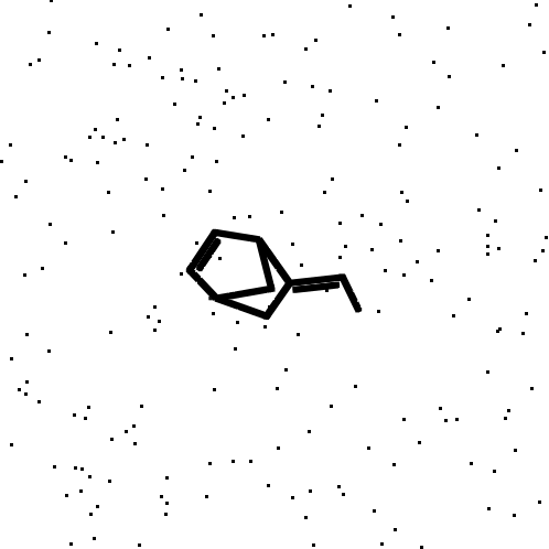 CC=C1C[C]2C=CC1C2